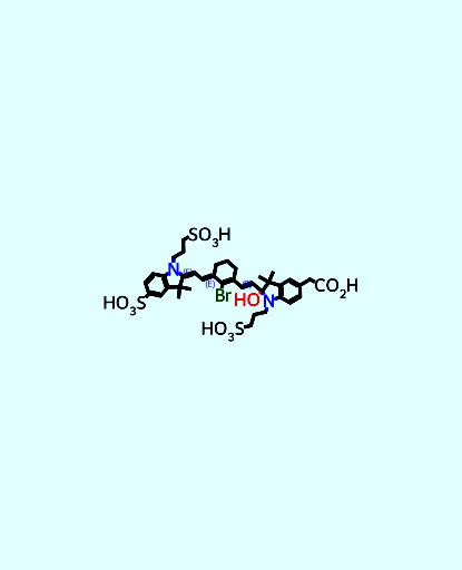 CC1(C)/C(=C\C=C2/CCCC(/C=C/C3(O)N(CCCS(=O)(=O)O)c4ccc(CC(=O)O)cc4C3(C)C)=C2Br)N(CCCS(=O)(=O)O)c2ccc(S(=O)(=O)O)cc21